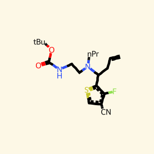 C=CCC(c1scc(C#N)c1F)N(CCC)CCNC(=O)OC(C)(C)C